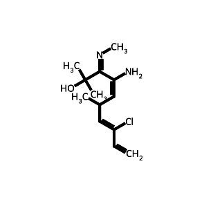 C=C/C(Cl)=C/C(C)/C=C(N)\C(=N/C)C(C)(C)O